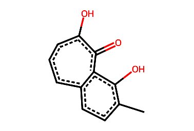 Cc1ccc2cccc(O)c(=O)c2c1O